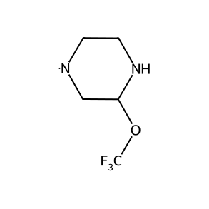 FC(F)(F)OC1C[N]CCN1